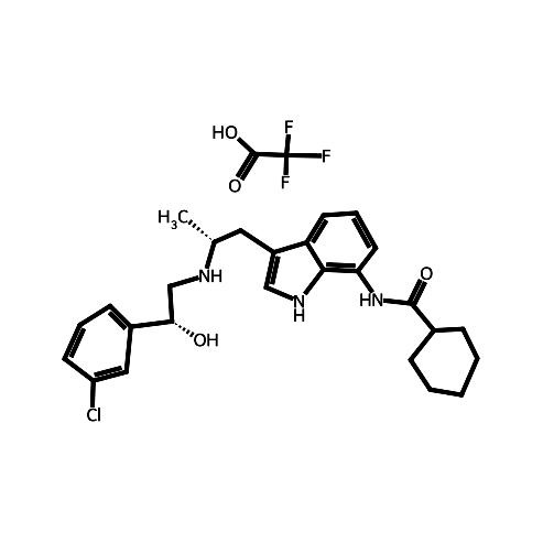 C[C@H](Cc1c[nH]c2c(NC(=O)C3CCCCC3)cccc12)NC[C@H](O)c1cccc(Cl)c1.O=C(O)C(F)(F)F